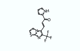 O=C(C=Cc1c(C(F)(F)F)nc2sccn12)c1ccc[nH]1